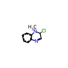 CN1c2ccccc2N=CC1Cl